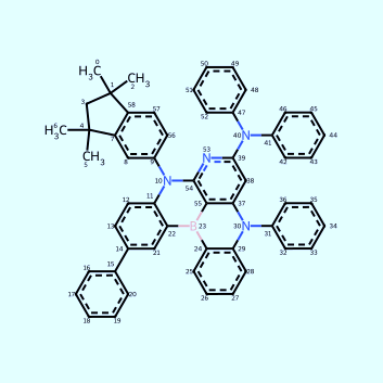 CC1(C)CC(C)(C)c2cc(N3c4ccc(-c5ccccc5)cc4B4c5ccccc5N(c5ccccc5)c5cc(N(c6ccccc6)c6ccccc6)nc3c54)ccc21